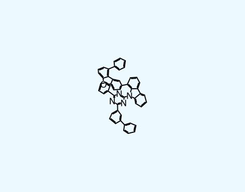 c1ccc(-c2cccc(-c3nc(-c4ccccc4)nc(-n4c5ccccc5c5cccc(-c6ccc7oc8cccc(-c9ccccc9)c8c7c6)c54)n3)c2)cc1